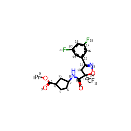 CC(C)OC(=O)C1CCC(NC(=O)[C@@]2(C(F)(F)F)CC(c3cc(F)cc(F)c3)=NO2)C1